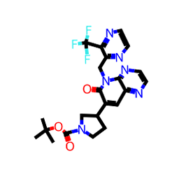 CC(C)(C)OC(=O)N1CCC(c2cc3nccnc3n(Cc3nccnc3C(F)(F)F)c2=O)C1